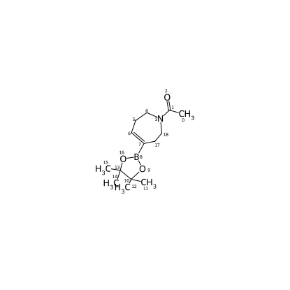 CC(=O)N1CCC=C(B2OC(C)(C)C(C)(C)O2)CC1